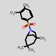 Cc1ccc(S(=O)(=O)N2CC3(C)CC2CC(C)(C)C3)cc1[N+](=O)[O-]